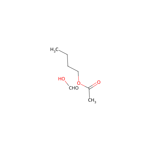 CCCCOC(C)=O.O=CO